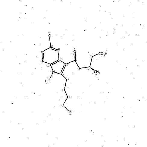 CC(C)OCCCc1c(C(=O)C[C@H](C)CC(=O)O)c2cc(Cl)ccc2n1C